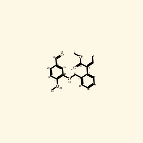 CC=C(C(=O)OC)c1ccccc1COc1cc(C=O)ccc1OC